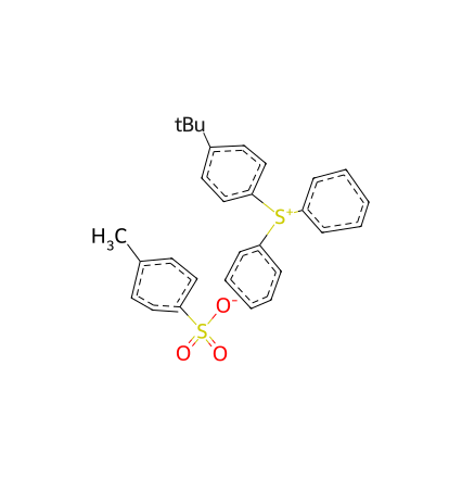 CC(C)(C)c1ccc([S+](c2ccccc2)c2ccccc2)cc1.Cc1ccc(S(=O)(=O)[O-])cc1